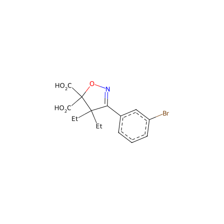 CCC1(CC)C(c2cccc(Br)c2)=NOC1(C(=O)O)C(=O)O